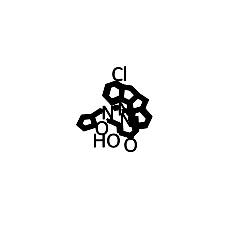 O=C1c2c(O)c(=O)ccn2N(C23c4ccccc4CC2Cc2c(Cl)cccc23)CN1CC1CCCC1